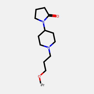 CC(C)OCCCN1CCC(N2CCCC2=O)CC1